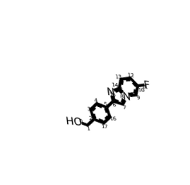 OCc1ccc(-c2cn3cc(F)ccc3n2)cc1